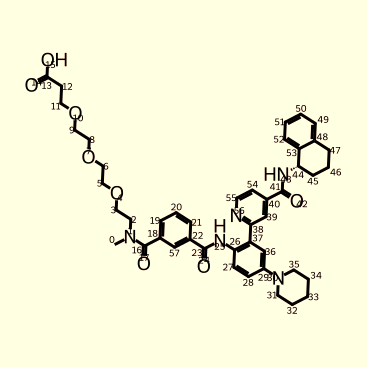 CN(CCOCCOCCOCCC(=O)O)C(=O)c1cccc(C(=O)Nc2ccc(N3CCCCC3)cc2-c2cc(C(=O)N[C@H]3CCCc4ccccc43)ccn2)c1